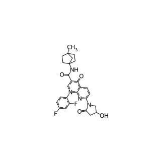 CC12CCC(NC(=O)c3cn(-c4ccc(F)cc4F)c4nc(N5CC(O)CC5=O)ccc4c3=O)(CC1)C2